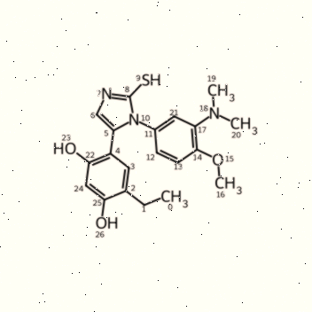 CCc1cc(-c2cnc(S)n2-c2ccc(OC)c(N(C)C)c2)c(O)cc1O